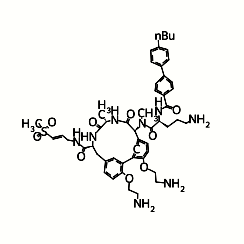 CCCCc1ccc(-c2ccc(C(=O)N[C@@H](CCCN)C(=O)N(C)[C@@H]3C(=O)N[C@@H](C)C(=O)N[C@H](C(=O)NC/C=C/S(C)(=O)=O)Cc4ccc(OCCN)c(c4)-c4cc3ccc4OCCN)cc2)cc1